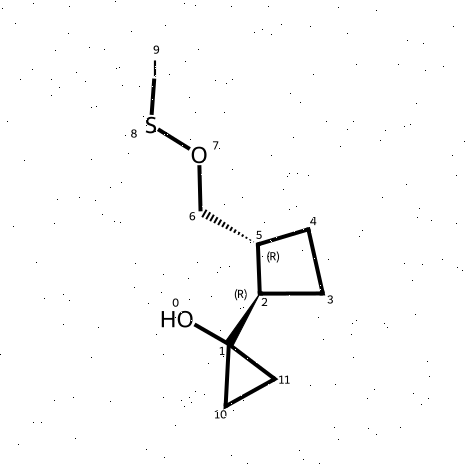 OC1([C@@H]2CC[C@H]2COSI)CC1